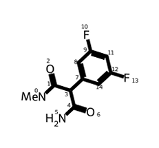 CNC(=O)C(C(N)=O)c1cc(F)cc(F)c1